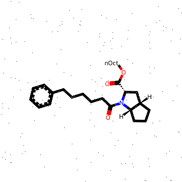 CCCCCCCCOC(=O)[C@@H]1C[C@@H]2CCC[C@@H]2N1C(=O)CCCCCc1ccccc1